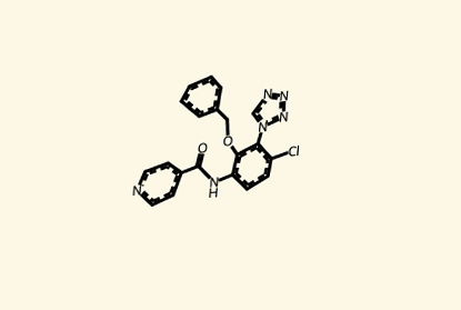 O=C(Nc1ccc(Cl)c(-n2cnnn2)c1OCc1ccccc1)c1ccncc1